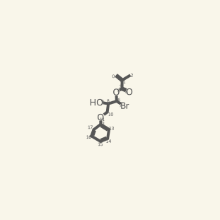 C=C(C)C(=O)OC(Br)C(O)COc1ccccc1